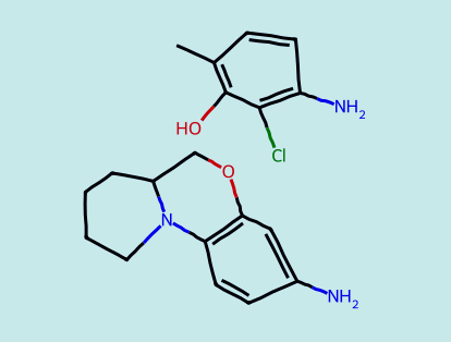 Cc1ccc(N)c(Cl)c1O.Nc1ccc2c(c1)OCC1CCCCN21